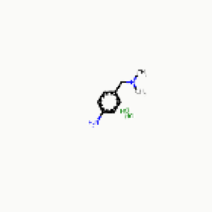 CN(C)Cc1ccc(N)cc1.Cl.Cl